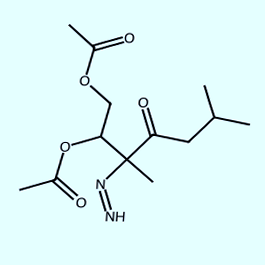 CC(=O)OCC(OC(C)=O)C(C)(N=N)C(=O)CC(C)C